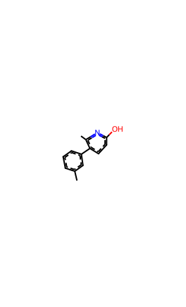 Cc1cccc(-c2ccc(O)nc2C)c1